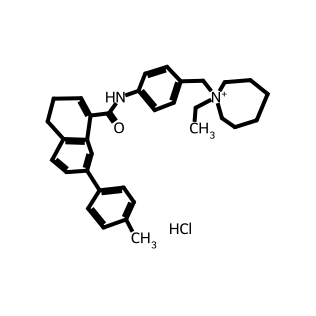 CC[N+]1(Cc2ccc(NC(=O)C3=CCCc4ccc(-c5ccc(C)cc5)cc43)cc2)CCCCCC1.Cl